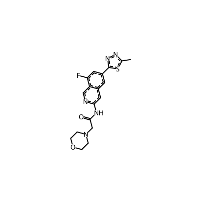 Cc1nnc(-c2cc(F)c3cnc(NC(=O)CN4CCOCC4)cc3c2)s1